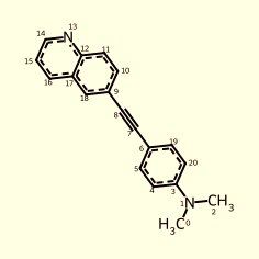 CN(C)c1ccc(C#Cc2ccc3ncccc3c2)cc1